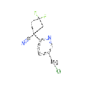 N#CC1(c2cc[c]([Mg][Cl])cn2)CC(F)(F)C1